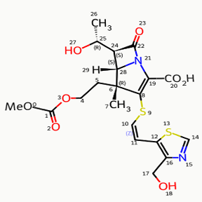 COC(=O)OCC[C@@]1(C)C(S/C=C\c2scnc2CO)=C(C(=O)O)N2C(=O)[C@H]([C@@H](C)O)[C@H]21